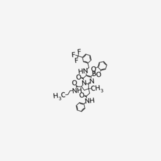 CCCNC(=O)C1CC(C)(CC(=O)Nc2ccccc2)c2nc(B3Oc4ccccc4O3)c(NCc3cccc(C(F)(F)F)c3)c(=O)n21